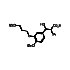 COCCCOc1cc(C(O)C(C(=O)O)C(C)C)ccc1OC